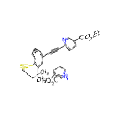 CCOC(=O)c1ccc(C#Cc2ccc3c(c2)C(C)(C)CCS3)nc1.O=C(O)c1cccnc1